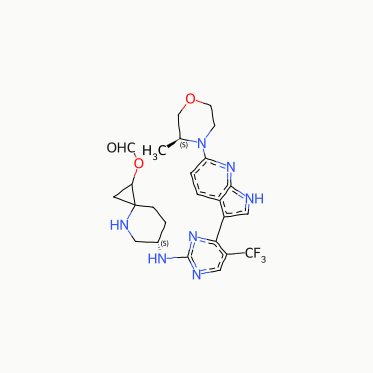 C[C@H]1COCCN1c1ccc2c(-c3nc(N[C@H]4CCC5(CC5OC=O)NC4)ncc3C(F)(F)F)c[nH]c2n1